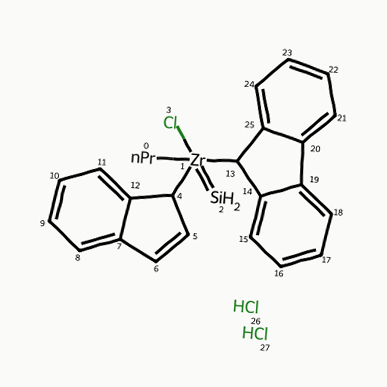 CC[CH2][Zr](=[SiH2])([Cl])([CH]1C=Cc2ccccc21)[CH]1c2ccccc2-c2ccccc21.Cl.Cl